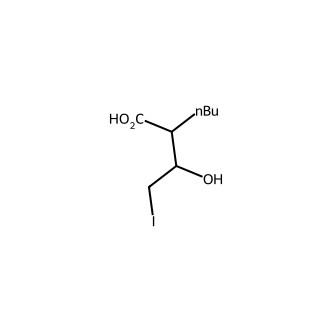 CCCCC(C(=O)O)C(O)CI